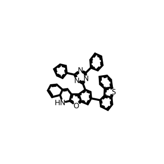 C1=CC2=Cc3c(oc4cc(-c5cccc6sc7ccccc7c56)cc(-c5nc(-c6ccccc6)nc(-c6ccccc6)n5)c34)NC2C=C1